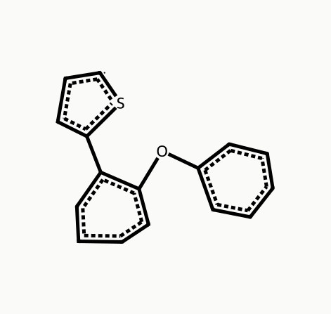 [c]1ccc(-c2ccccc2Oc2ccccc2)s1